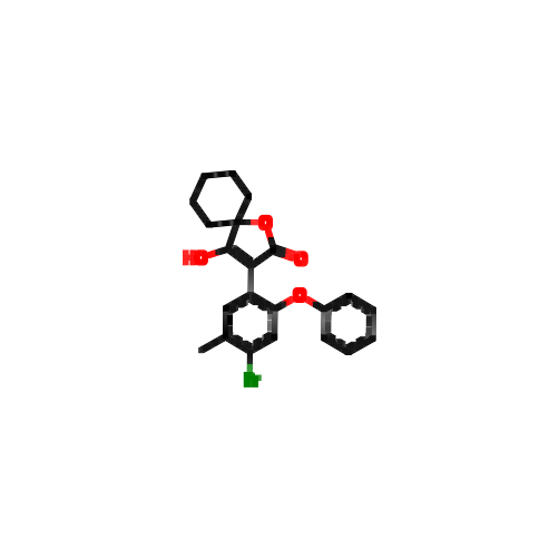 Cc1cc(C2=C(O)C3(CCCCC3)OC2=O)c(Oc2ccccc2)cc1Br